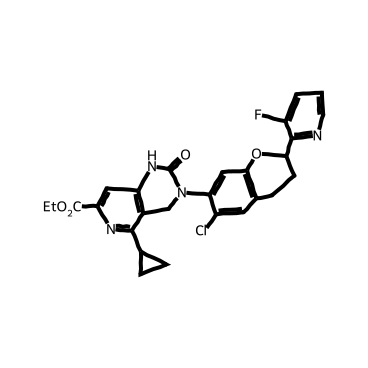 CCOC(=O)c1cc2c(c(C3CC3)n1)CN(c1cc3c(cc1Cl)CCC(c1ncccc1F)O3)C(=O)N2